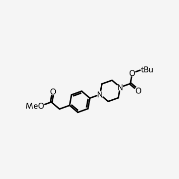 COC(=O)Cc1ccc(N2CCN(C(=O)OC(C)(C)C)CC2)cc1